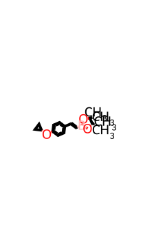 CC1(C)OB(/C=C/c2ccc(OC3CC3)cc2)OC1(C)C